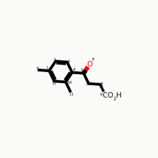 Cc1ccc(C(=O)CCC(=O)O)c(C)c1